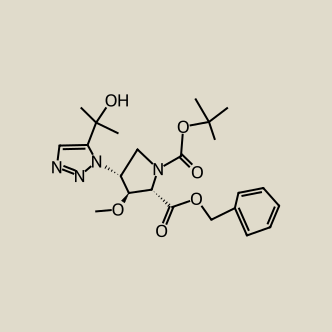 CO[C@@H]1[C@@H](C(=O)OCc2ccccc2)N(C(=O)OC(C)(C)C)C[C@H]1n1nncc1C(C)(C)O